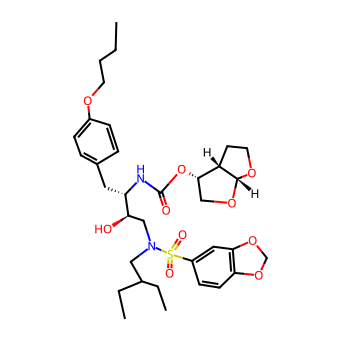 CCCCOc1ccc(C[C@H](NC(=O)O[C@H]2CO[C@H]3OCC[C@H]32)[C@H](O)CN(CC(CC)CC)S(=O)(=O)c2ccc3c(c2)OCO3)cc1